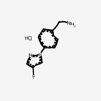 Cl.NCc1ccc(-n2cc(F)cn2)cc1